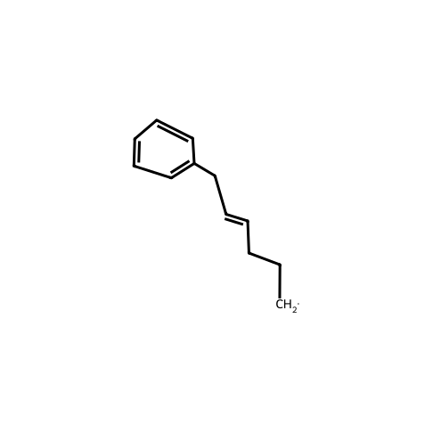 [CH2]CCC=CCc1ccccc1